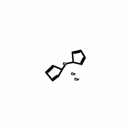 C1=C[CH]([Co][CH]2C=CC=C2)C=C1.[Co].[Co]